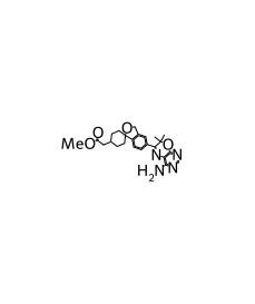 COC(=O)CC1CCC2(CC1)OCc1cc(C3=Nc4c(N)ncnc4OC3(C)C)ccc12